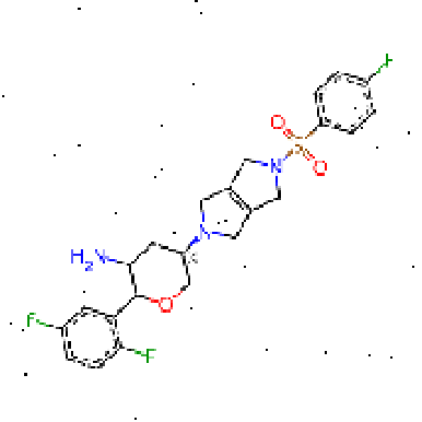 NC1C[C@@H](N2CC3=C(C2)CN(S(=O)(=O)c2ccc(F)cc2)C3)COC1c1cc(F)ccc1F